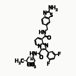 CC(C)C[C@@H](CO)NC(=O)c1c(-c2cc(F)cc(F)c2)nc2c(C(=O)NCc3ccc4nc(N)sc4c3)cccn12